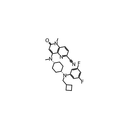 Cn1c(=O)cc(N(C)[C@H]2CC[C@@H](N(CC3CCC3)c3cc(F)cc(F)c3)CC2)c2nc(C#N)ccc21